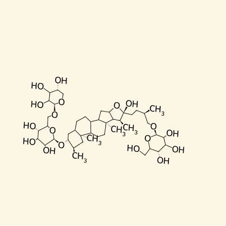 C[C@H](CC[C@@]1(O)OC2CC3C4CCC5C[C@@H](O[C@@H]6OC(CO[C@@H]7OC[C@@H](O)C(O)C7O)[C@@H](O)C(O)C6O)[C@H](C)C[C@]5(C)C4CC[C@]3(C)C2[C@@H]1C)CO[C@@H]1OC(CO)[C@@H](O)C(O)C1O